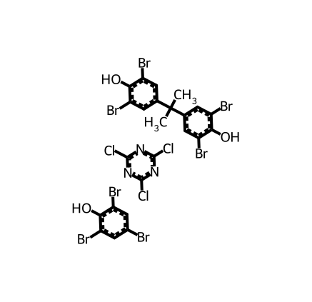 CC(C)(c1cc(Br)c(O)c(Br)c1)c1cc(Br)c(O)c(Br)c1.Clc1nc(Cl)nc(Cl)n1.Oc1c(Br)cc(Br)cc1Br